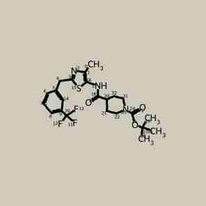 Cc1nc(Cc2cccc(C(F)(F)F)c2)sc1NC(=O)C1CCN(C(=O)OC(C)(C)C)CC1